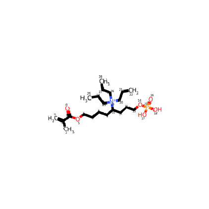 C=C(C)C(=O)OCCCCC(CCCOP(=O)(O)O)[N+](CCC)(CCC)CCC